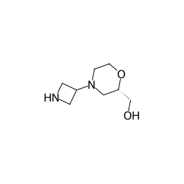 OC[C@@H]1CN(C2CNC2)CCO1